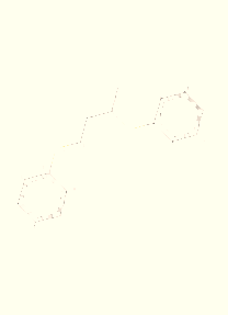 CC(CCSc1ccccc1)Sc1ccccc1